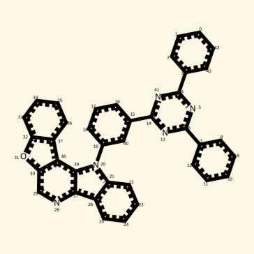 c1ccc(-c2nc(-c3ccccc3)nc(-c3cccc(-n4c5ccccc5c5ncc6oc7ccccc7c6c54)c3)n2)cc1